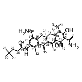 C=C(N)C1=C(O)[C@@H](N(C)C)[C@]2(C)C[C@]3(C)Cc4c(CN)cc(NC(=O)CCC(C)(C)C)c(C)c4C(=C)C3=C(C)[C@]2(O)C1=C